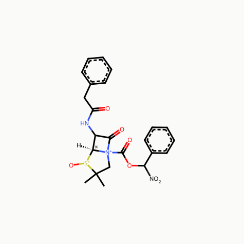 CC1(C)C[N+]2(C(=O)OC(c3ccccc3)[N+](=O)[O-])C(=O)C(NC(=O)Cc3ccccc3)[C@@H]2[S+]1[O-]